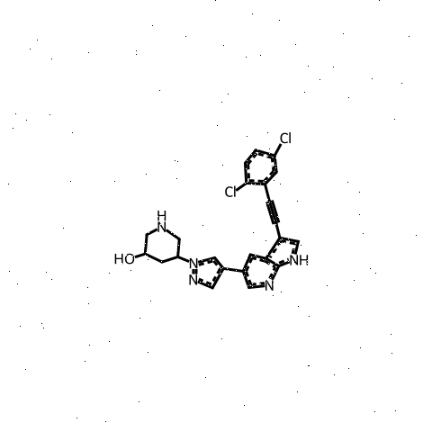 OC1CNCC(n2cc(-c3cnc4[nH]cc(C#Cc5cc(Cl)ccc5Cl)c4c3)cn2)C1